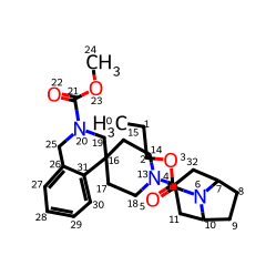 CCCOC(=O)N1C2CCC1CC(N1CCC3(CC1)CN(C(=O)OC)Cc1ccccc13)C2